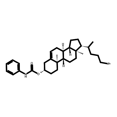 CC(C)CCCC(C)[C@H]1CC[C@H]2[C@@H]3CC=C4C[C@@H](OC(=O)Nc5ccccc5)CC[C@]4(C)[C@H]3CC[C@]12C